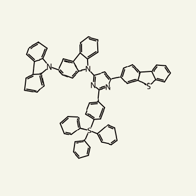 c1ccc(S(c2ccccc2)(c2ccccc2)c2ccc(-c3nc(-c4ccc5c(c4)sc4ccccc45)cc(-n4c5ccccc5c5cc(-n6c7ccccc7c7ccccc76)ccc54)n3)cc2)cc1